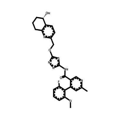 COc1cccc(F)c1-c1cc(C)ncc1C(=O)Nc1nnc(OCc2ccc3c(n2)CCC[C@@H]3O)s1